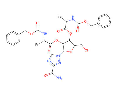 CC(C)C(NC(=O)OCc1ccccc1)C(=O)OC1C(CO)OC(n2cnc(C(N)=O)n2)C1OC(=O)C(NC(=O)OCc1ccccc1)C(C)C